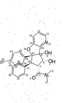 CN(C)C(=O)[C@H]1[C@@H](O)C2(O)c3ncccc3O[C@@]2(c2ccc(C#N)cc2)[C@@H]1c1ccccc1